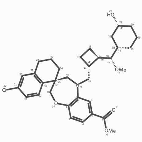 COC(=O)c1ccc2c(c1)N(C[C@@H]1CC[C@H]1[C@@H](OC)[C@H]1CCC[C@@H](O)C1)C[C@@]1(CCCc3cc(Cl)ccc31)CO2